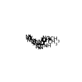 CC(C)Oc1cc(C(=N)c2cc(N3CCN(c4ccncn4)CC3)ncn2)c(N)cn1